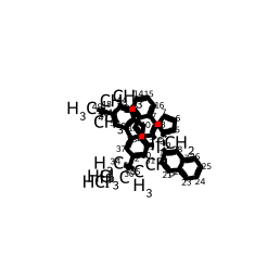 Cl.Cl.[CH2]=[Hf]([C]1=CC=CC1)([c]1ccc2ccccc2c1)([c]1ccc2ccccc2c1)[c]1c(C)c(C(C)(C)C)cc2c1Cc1cc(C)c(C(C)(C)C)cc1-2